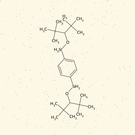 CC(C)(C)C(O[SiH2]c1ccc([SiH2]OC(C(C)(C)C)C(C)(C)C)cc1)C(C)(C)C